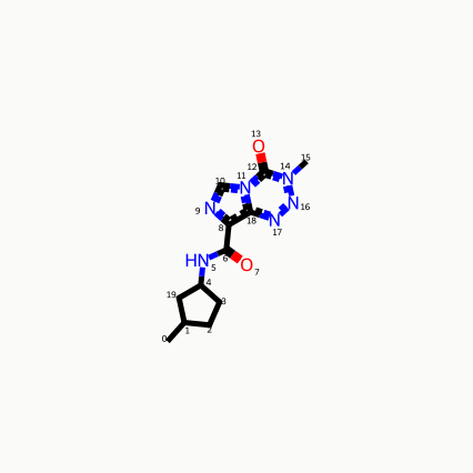 CC1CCC(NC(=O)c2ncn3c(=O)n(C)nnc23)C1